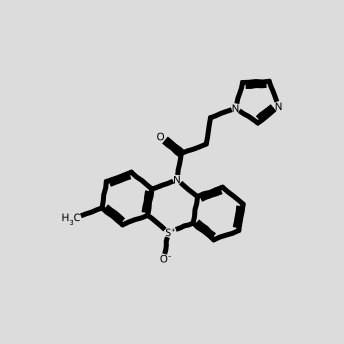 Cc1ccc2c(c1)[S+]([O-])c1ccccc1N2C(=O)CCn1ccnc1